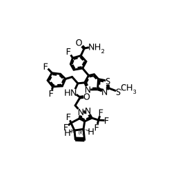 CSc1nc2nc(C(Cc3cc(F)cc(F)c3)NC(=O)Cn3nc(C(F)(F)F)c4c3C(F)(F)[C@@H]3C#C[C@H]43)c(-c3ccc(F)c(C(N)=O)c3)cc2s1